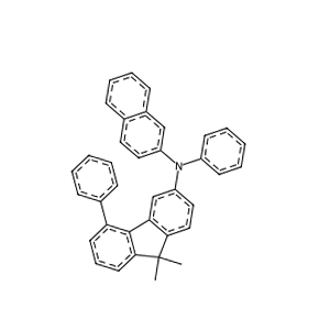 CC1(C)c2ccc(N(c3ccccc3)c3ccc4ccccc4c3)cc2-c2c(-c3ccccc3)cccc21